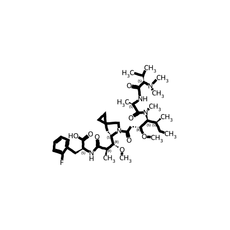 CC[C@H](C)[C@@H]([C@@H](CC(=O)N1CC2(CC2)C[C@H]1[C@H](OC)[C@@H](C)C(=O)N[C@@H](Cc1ccccc1F)C(=O)O)OC)N(C)C(=O)[C@H](C)NC(=O)[C@H](C(C)C)N(C)C